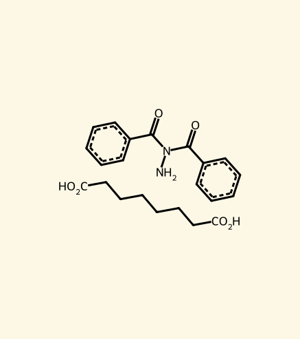 NN(C(=O)c1ccccc1)C(=O)c1ccccc1.O=C(O)CCCCCCC(=O)O